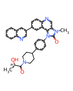 C[C@@H](O)C(=O)N1CCC(c2ccc(-n3c(=O)n(C)c4cnc5ccc(-c6cnc7ccccc7c6)cc5c43)cc2)CC1